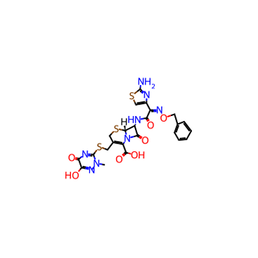 Cn1nc(O)c(=O)nc1SCC1=C(C(=O)O)N2C(=O)[C@@H](NC(=O)/C(=N\OCc3ccccc3)c3csc(N)n3)[C@H]2SC1